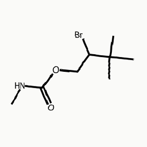 CNC(=O)OCC(Br)C(C)(C)C